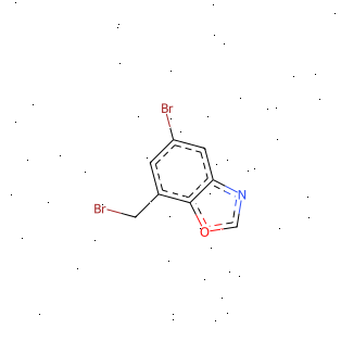 BrCc1cc(Br)cc2ncoc12